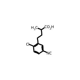 [C-]#[N+]c1ccc(Cl)c(CCC(C)C(=O)O)c1